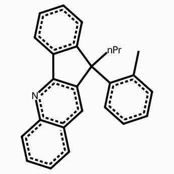 CCCC1(c2ccccc2C)c2ccccc2-c2nc3ccccc3cc21